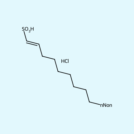 CCCCCCCCCCCCCCCCC=CS(=O)(=O)O.Cl